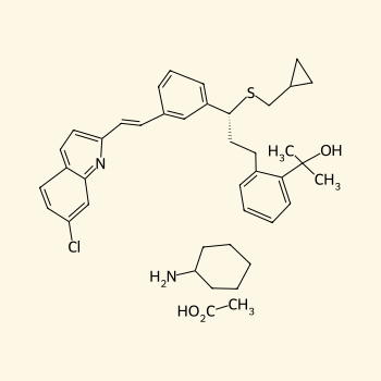 CC(=O)O.CC(C)(O)c1ccccc1CC[C@@H](SCC1CC1)c1cccc(C=Cc2ccc3ccc(Cl)cc3n2)c1.NC1CCCCC1